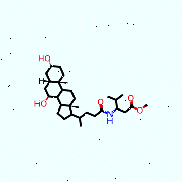 COC(=O)CC(NC(=O)CCC(C)C1CCC2C3C(CC[C@]12C)[C@@]1(C)CC[C@@H](O)C[C@H]1C[C@@H]3O)C(C)C